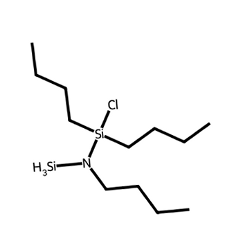 CCCCN([SiH3])[Si](Cl)(CCCC)CCCC